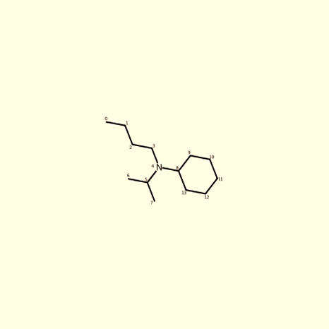 CCCCN(C(C)C)C1CCCCC1